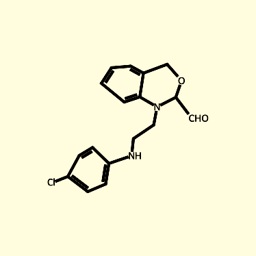 O=CC1OCc2ccccc2N1CCNc1ccc(Cl)cc1